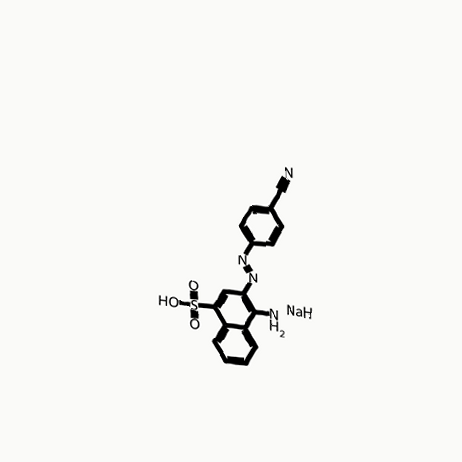 N#Cc1ccc(N=Nc2cc(S(=O)(=O)O)c3ccccc3c2N)cc1.[NaH]